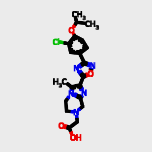 Cc1c(-c2nc(-c3ccc(OC(C)C)c(Cl)c3)no2)nc2n1CCN(CC(=O)O)C2